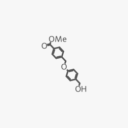 COC(=O)c1ccc(COc2ccc(CO)cc2)cc1